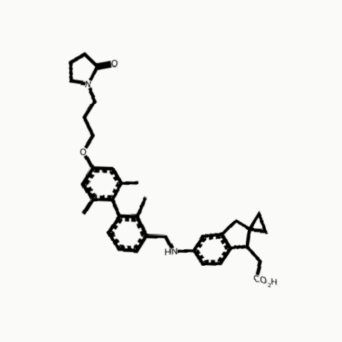 Cc1cc(OCCCN2CCCC2=O)cc(C)c1-c1cccc(CNc2ccc3c(c2)CC2(CC2)C3CC(=O)O)c1C